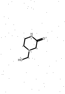 O=C1CN(CO)CCN1